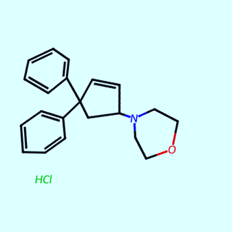 C1=CC(c2ccccc2)(c2ccccc2)CC1N1CCOCC1.Cl